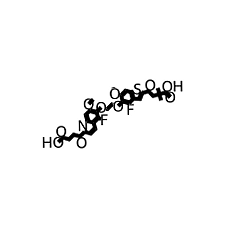 COc1cc2nc(C(=O)CCC(=O)O)ccc2c(F)c1OCCOc1c(OC)cc2sc(C(=O)CC(C)(C)C(=O)O)cc2c1F